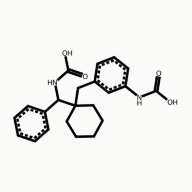 O=C(O)Nc1cccc(CC2(C(NC(=O)O)c3ccccc3)CCCCC2)c1